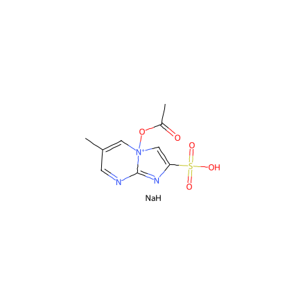 CC(=O)O[N+]12C=C(C)C=NC1=NC(S(=O)(=O)O)=C2.[NaH]